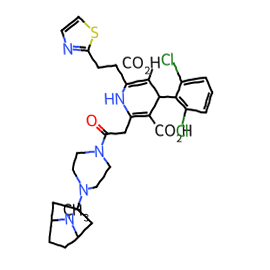 CN1C2CCC1CC(N1CCN(C(=O)CC3=C(C(=O)O)C(c4c(Cl)cccc4Cl)C(C(=O)O)=C(CCc4nccs4)N3)CC1)C2